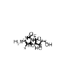 Nc1nc(=O)n(C2(F)O[C@@H](CO)[C@H](O)[C@H]2O)cc1I